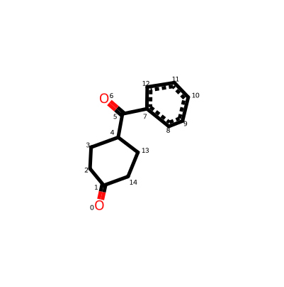 O=C1CCC(C(=O)c2ccccc2)CC1